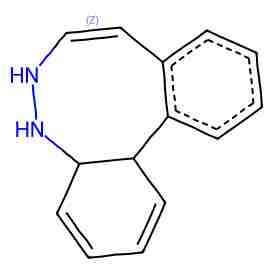 C1=CC2NN/C=C\c3ccccc3C2C=C1